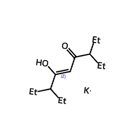 CCC(CC)C(=O)/C=C(\O)C(CC)CC.[K]